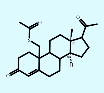 CC(=O)SCC12CCC(=O)C=C1CCC1C2CC[C@]2(C)C(C(C)=O)CC[C@@H]12